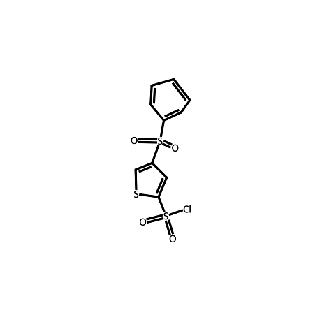 O=S(=O)(Cl)c1cc(S(=O)(=O)c2ccccc2)cs1